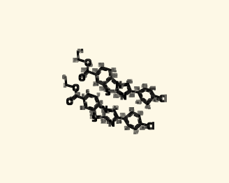 CCOC(=O)c1ccc2c(c1)sc1nc(-c3ccc(Cl)cc3)cn12.CCOC(=O)c1ccc2c(c1)sc1nc(-c3ccc(Cl)cc3)cn12